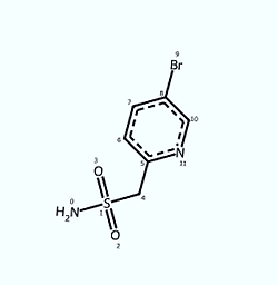 NS(=O)(=O)Cc1ccc(Br)cn1